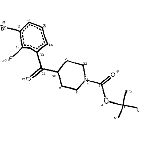 CC(C)(C)OC(=O)N1CCC(C(=O)c2cccc(Br)c2F)CC1